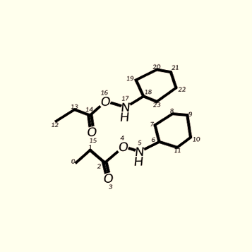 CCC(=O)ONC1CCCCC1.CCC(=O)ONC1CCCCC1